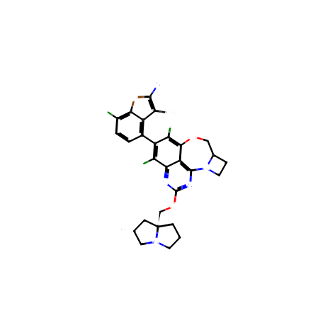 N#Cc1c(N)sc2c(F)ccc(-c3c(Cl)c4c5c(nc(OC[C@@]67CCCN6C[C@H](F)C7)nc5c3F)N3CCC3CO4)c12